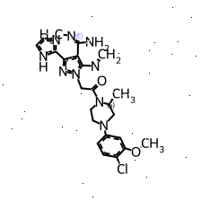 C=Nc1c(/C(N)=N\C)c(-c2ncc[nH]2)nn1CC(=O)N1CCN(c2ccc(Cl)c(OC)c2)C[C@@H]1C